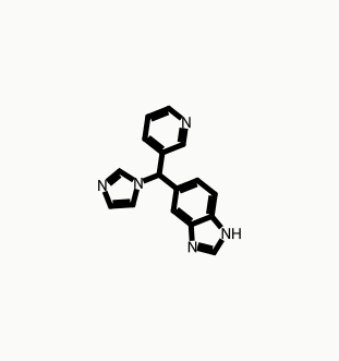 c1cncc(C(c2ccc3[nH]cnc3c2)n2ccnc2)c1